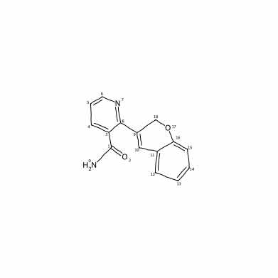 NC(=O)c1cccnc1C1=Cc2ccccc2OC1